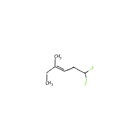 CCC(C)=CC[C](F)F